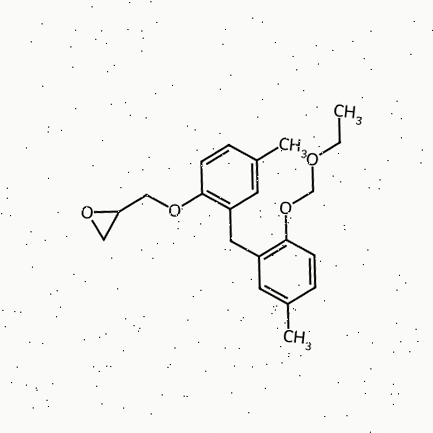 CCOCOc1ccc(C)cc1Cc1cc(C)ccc1OCC1CO1